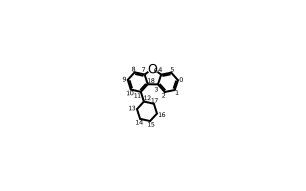 c1ccc2c(c1)oc1cccc(C3CCCCC3)c12